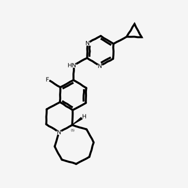 Fc1c(Nc2ncc(C3CC3)cn2)ccc2c1CCN1CCCCCC[C@@H]21